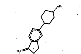 C=C1CCc2cc(C3CCN(CCC)CC3)ccc21